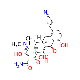 CN(C)[C@@H]1C(O)=C(C(N)=O)C(=O)[C@]2(O)C(O)=C3C(=O)c4c(O)ccc(/C=C/C#N)c4C[C@@H]3C[C@H]12